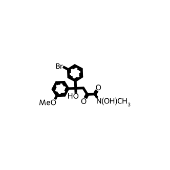 COc1cccc(C(O)(CC(=O)C(=O)N(C)O)c2cccc(Br)c2)c1